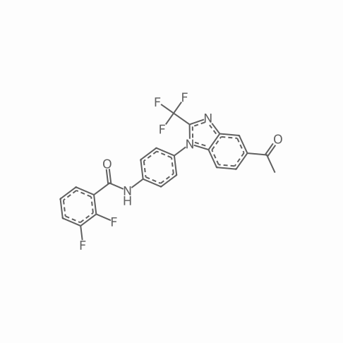 CC(=O)c1ccc2c(c1)nc(C(F)(F)F)n2-c1ccc(NC(=O)c2cccc(F)c2F)cc1